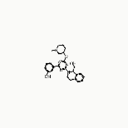 CN1CCCC(Oc2nc(-c3cccc(O)c3)nc(N3CCc4ccccc4C3CO)n2)C1